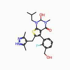 Cc1n[nH]c(C)c1Cc1sc2c(c1-c1cccc(CO)c1F)C(=O)N(C)C(O)N2CC(C)C